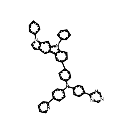 c1ccc(-n2ccc3cc4c5cc(-c6ccc(N(c7ccc(-c8ccccn8)cc7)c7ccc(-c8ncncn8)cc7)cc6)ccc5n(-c5ccccc5)c4cc32)cc1